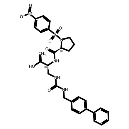 C=C(O)[C@H](CNC(=O)NCc1ccc(-c2ccccc2)cc1)NC(=O)[C@@H]1CCCN1S(=O)(=O)c1ccc([N+](=O)[O-])cc1